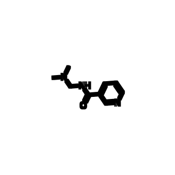 CN(C)CNC(=O)c1cccnc1